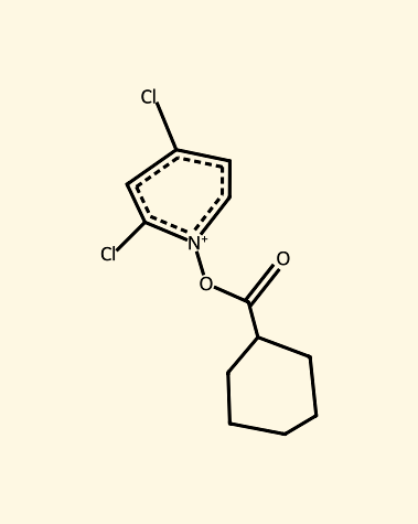 O=C(O[n+]1ccc(Cl)cc1Cl)C1CCCCC1